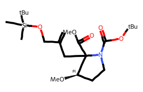 C=C(CO[Si](C)(C)C(C)(C)C)CC1(C(=O)OC)[C@H](OC)CCN1C(=O)OC(C)(C)C